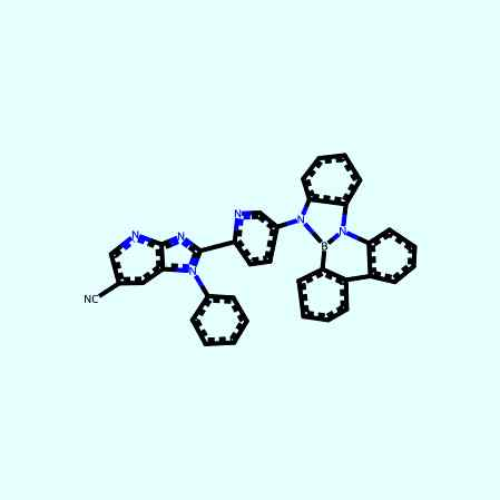 N#Cc1cnc2nc(-c3ccc(N4B5c6ccccc6-c6ccccc6N5c5ccccc54)cn3)n(-c3ccccc3)c2c1